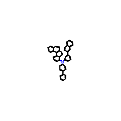 c1ccc(-c2ccc(N(c3cccc(-c4ccc5ccccc5c4)c3)c3cccc4c3ccc3ccc5ccccc5c34)cc2)cc1